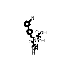 CC(CO)(C[C@@H](Cc1ccc(-c2cccc(C#N)c2)cc1)NC(=O)c1c[nH]nn1)C(=O)O